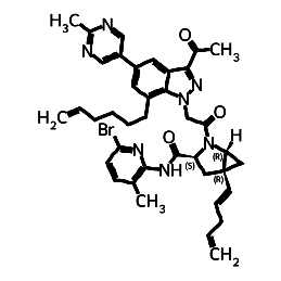 C=CCC=C[C@@]12C[C@@H](C(=O)Nc3nc(Br)ccc3C)N(C(=O)Cn3nc(C(C)=O)c4cc(-c5cnc(C)nc5)cc(CCCCC=C)c43)[C@@H]1C2